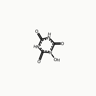 O=c1[nH]c(=O)n(O)c(=O)[nH]1